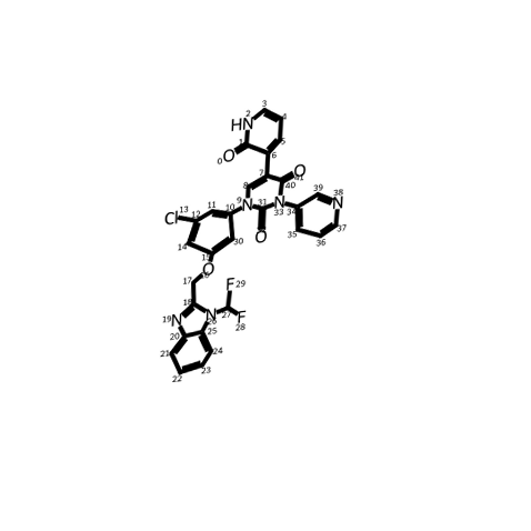 O=c1[nH]cccc1-c1cn(-c2cc(Cl)cc(OCc3nc4ccccc4n3C(F)F)c2)c(=O)n(-c2cccnc2)c1=O